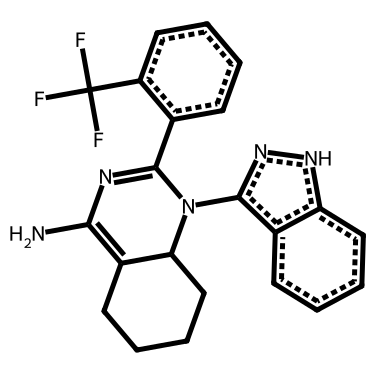 NC1=C2CCCCC2N(c2n[nH]c3ccccc23)C(c2ccccc2C(F)(F)F)=N1